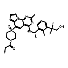 Cc1nc(N[C@H](C)c2cccc(C(F)(F)CO)c2F)c2cc(P3(=O)CCN(C(=O)CF)CC3)c3nccn3c2n1